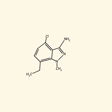 CCc1ccc(Cl)c2c(N)nn(C)c12